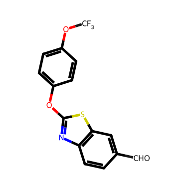 O=Cc1ccc2nc(Oc3ccc(OC(F)(F)F)cc3)sc2c1